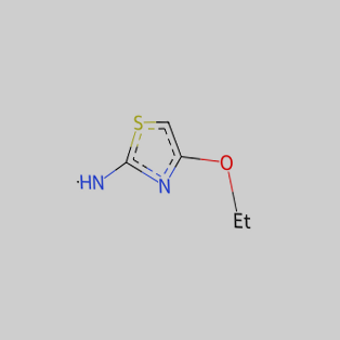 CCOc1csc([NH])n1